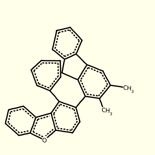 Cc1cc2c(c(-c3ccc4oc5ccccc5c4c3-c3ccccc3)c1C)Cc1ccccc1-2